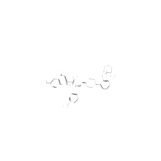 O=C(N[C@H](C=C1CCC(c2ccccc2CN2CCCC2=O)CC1)Cc1ccc(Cl)cc1)c1cc(=O)c2cc(Cl)ccc2o1